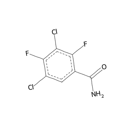 NC(=O)c1cc(Cl)c(F)c(Cl)c1F